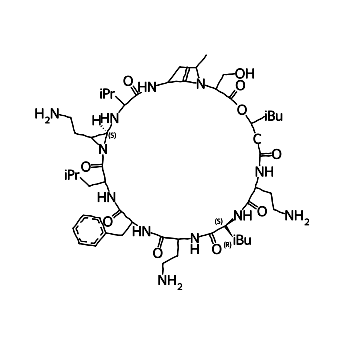 C=C1C2CC(C)N1C(CO)C(=O)OC(C(C)CC)CC(=O)NC(CCN)C(=O)N[C@@H]([C@H](C)CC)C(=O)NC(CCN)C(=O)NC(Cc1ccccc1)C(=O)NC(CC(C)C)C(=O)N1C(CCN)[C@H]1NC(C(C)C)C(=O)N2